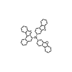 c1ccc2c(c1)cc(N(c1ccc3c(c1)oc1ccccc13)c1ccc3c(c1)sc1ccccc13)c1sc3ccccc3c12